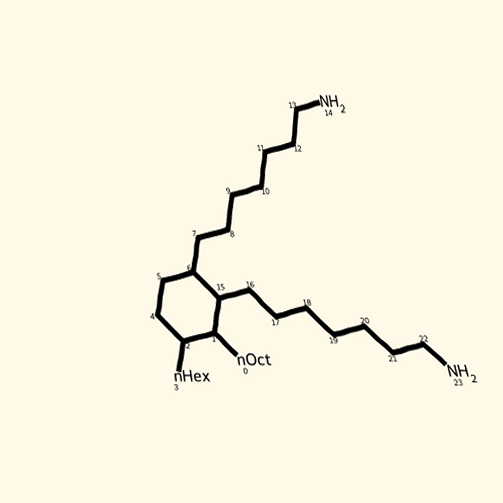 CCCCCCCCC1C(CCCCCC)CCC(CCCCCCCN)C1CCCCCCCN